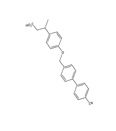 CC(CC(=O)O)c1ccc(OCc2ccc(-c3ccc(C#N)cc3)cc2)cc1